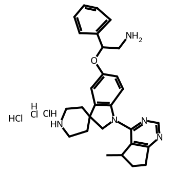 CC1CCc2ncnc(N3CC4(CCNCC4)c4cc(OC(CN)c5ccccc5)ccc43)c21.Cl.Cl.Cl